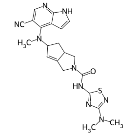 CN(C)c1nsc(NC(=O)N2CC3=CC(N(C)c4c(C#N)cnc5[nH]ccc45)CC3C2)n1